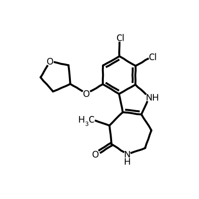 CC1C(=O)NCCc2[nH]c3c(Cl)c(Cl)cc(OC4CCOC4)c3c21